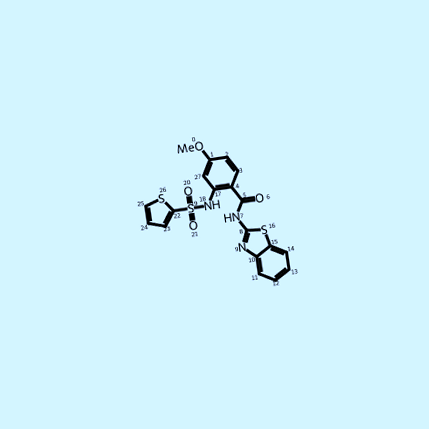 COc1ccc(C(=O)Nc2nc3ccccc3s2)c(NS(=O)(=O)c2cccs2)c1